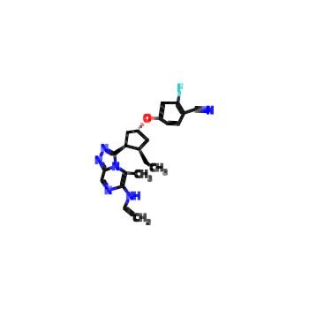 C=CNc1ncc2nnc([C@H]3C[C@H](Oc4ccc(C#N)c(F)c4)C[C@H]3CC)n2c1C